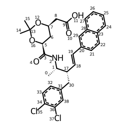 C[C@H](NC(=O)[C@@H]1C[C@H](CC(=O)O)OC(C)(C)O1)[C@H](/C=C/c1ccc2ccccc2c1)Cc1ccc(Cl)c(Cl)c1